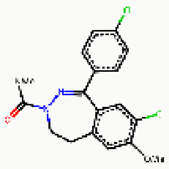 CNC(=O)N1CCc2cc(OC)c(Cl)cc2C(c2ccc(Cl)cc2)=N1